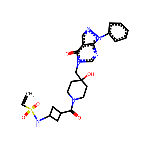 C=CS(=O)(=O)NC1CC(C(=O)N2CCC(O)(Cn3cnc4c(cnn4-c4ccccc4)c3=O)CC2)C1